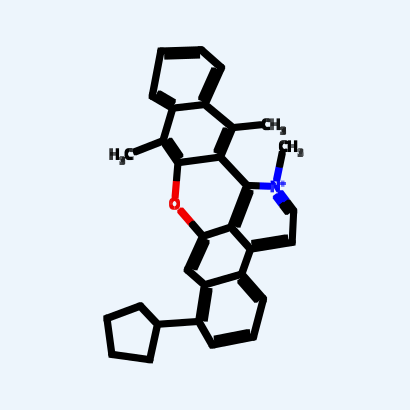 Cc1c2c(c(C)c3ccccc13)-c1c3c(cc4c(C5CCCC5)cccc4c3cc[n+]1C)O2